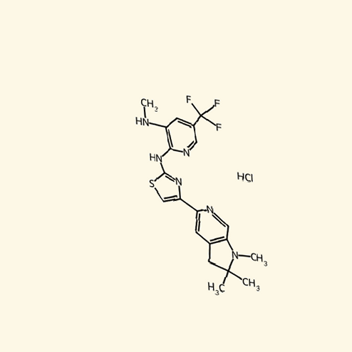 CNc1cc(C(F)(F)F)cnc1Nc1nc(-c2cc3c(cn2)N(C)C(C)(C)C3)cs1.Cl